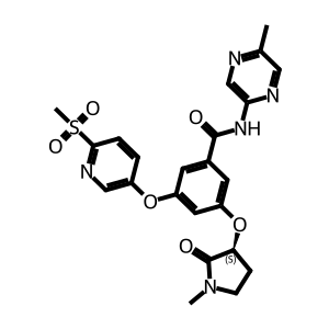 Cc1cnc(NC(=O)c2cc(Oc3ccc(S(C)(=O)=O)nc3)cc(O[C@H]3CCN(C)C3=O)c2)cn1